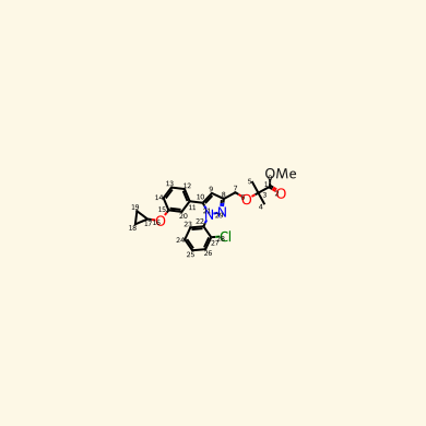 COC(=O)C(C)(C)OCc1cc(-c2cccc(OC3CC3)c2)n(-c2ccccc2Cl)n1